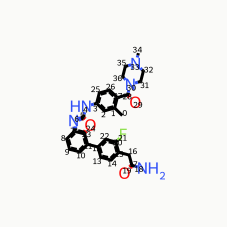 Cc1cc(Nc2nc3cccc(-c4ccc(CC(N)=O)c(F)c4)c3o2)ccc1C(=O)N1CCN(C)CC1